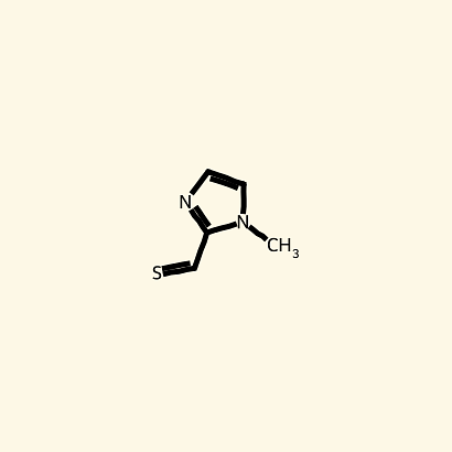 Cn1ccnc1C=S